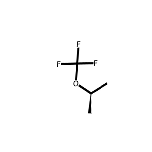 [CH2][C@H](C)OC(F)(F)F